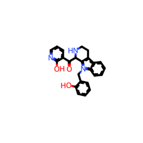 O=C(c1cccnc1O)C1NCCc2c1n(Cc1ccccc1O)c1ccccc21